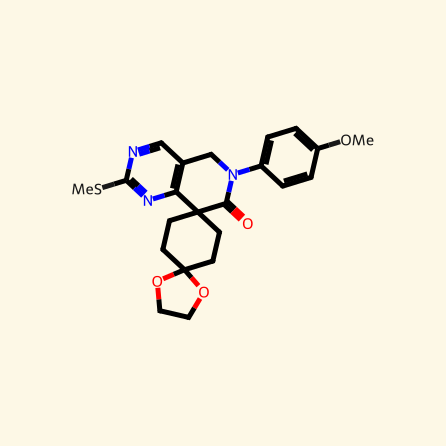 COc1ccc(N2Cc3cnc(SC)nc3C3(CCC4(CC3)OCCO4)C2=O)cc1